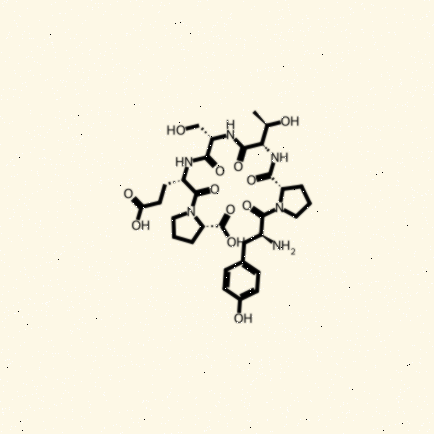 C[C@@H](O)[C@H](NC(=O)[C@@H]1CCCN1C(=O)[C@@H](N)Cc1ccc(O)cc1)C(=O)N[C@@H](CO)C(=O)N[C@@H](CCC(=O)O)C(=O)N1CCC[C@H]1C(=O)O